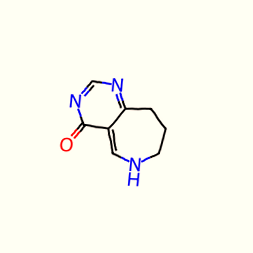 O=C1N=CN=C2CCCNC=C12